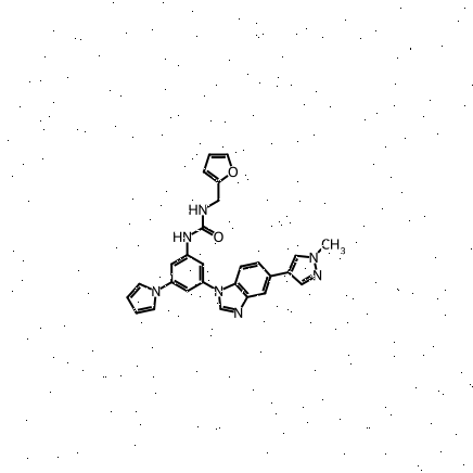 Cn1cc(-c2ccc3c(c2)ncn3-c2cc(NC(=O)NCc3ccco3)cc(-n3cccc3)c2)cn1